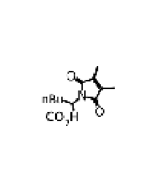 CCCCC(C(=O)O)N1C(=O)C(C)=C(C)C1=O